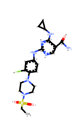 CCS(=O)(=O)N1CCN(c2ccc(Nc3ncc(C(N)=O)c(NC4CC4)n3)cc2F)CC1